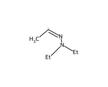 C/[C]=N\N(CC)CC